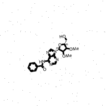 COC1C(OC)[C@@H](CO)O[C@H]1n1cnc2c(NC(=O)c3ccccc3)ncnc21